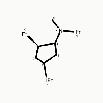 CC[C@@H]1CC(C(C)C)CC1N(C)C(C)C